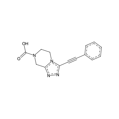 O=C(O)N1CCn2c(C#Cc3ccccc3)nnc2C1